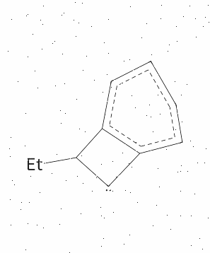 CCC1[C]c2ccccc21